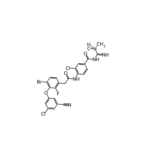 CN(C)C(=N)NC(=O)c1ccc(NC(=O)Cc2ccc(Br)c(Oc3cc(Cl)cc(C#N)c3)c2F)c(Cl)c1